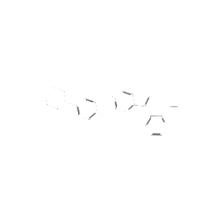 COc1ncccc1-c1csc2cnc(Nc3ccc(N4CCOCC4)cc3)nc12